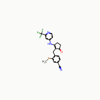 CSc1cc(C#N)ccc1CC1=C(Nc2ccnc(C(F)(F)F)c2)CCC1=O